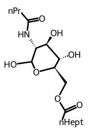 CCCCCCCC(=O)OC[C@H]1OC(O)[C@H](NC(=O)CCC)[C@@H](O)[C@@H]1O